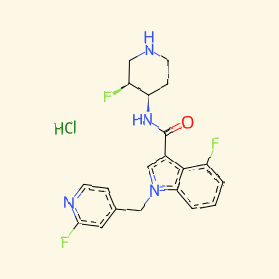 Cl.O=C(N[C@@H]1CCNC[C@@H]1F)c1cn(Cc2ccnc(F)c2)c2cccc(F)c12